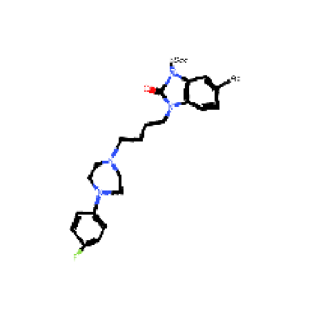 CCCCCCCCCCn1c(=O)n(CCCCN2CCN(c3ccc(F)cc3)CC2)c2ccc(C(C)=O)cc21